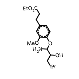 CCOC(=O)CCc1ccc(OC(N)C(O)CC(C)C)c(OC)c1